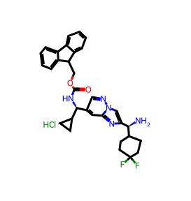 Cl.N[C@H](c1cn2ncc([C@H](NC(=O)OCC3c4ccccc4-c4ccccc43)C3CC3)cc2n1)C1CCC(F)(F)CC1